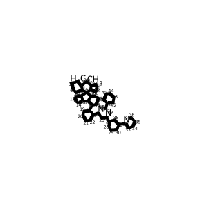 CC1(C)c2ccccc2C2(c3ccccc3-c3c(-c4ccccc4-c4cc(-c5cccc(-c6ccccn6)c5)nc(-c5ccccc5)n4)cccc32)c2ccccc21